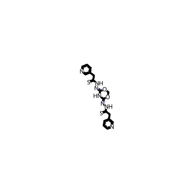 S=C(Cc1cccnc1)N/N=C1/N/C(=N/NC(=S)Cc2cccnc2)OCO1